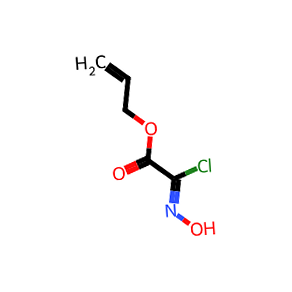 C=CCOC(=O)C(Cl)=NO